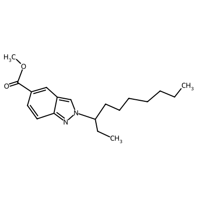 CCCCCCCC(CC)n1cc2cc(C(=O)OC)ccc2n1